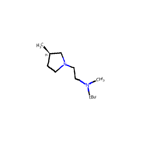 C[C@@H]1CCN(CCN(C)C(C)(C)C)C1